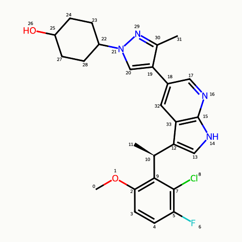 COc1ccc(F)c(Cl)c1[C@@H](C)c1c[nH]c2ncc(-c3cn(C4CCC(O)CC4)nc3C)cc12